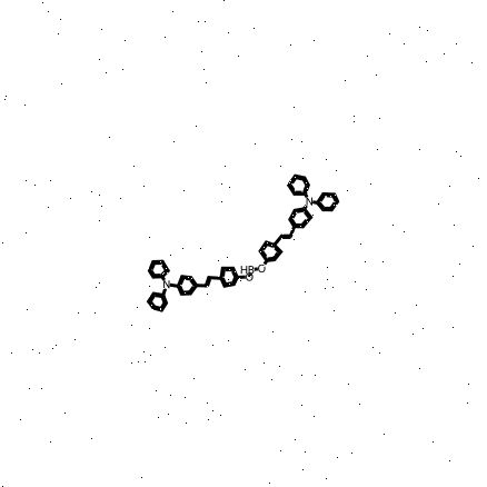 B(Oc1ccc(/C=C/c2ccc(N(c3ccccc3)c3ccccc3)cc2)cc1)Oc1ccc(/C=C/c2ccc(N(c3ccccc3)c3ccccc3)cc2)cc1